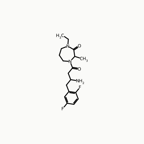 CCN1CCCN(C(=O)CC(N)Cc2cc(F)ccc2F)C(C)C1=O